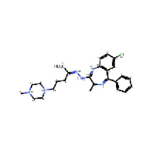 CC1N=C(c2ccccc2)c2cc(Cl)ccc2N=C1NN=C(CCCN1CCN(C)CC1)C(=O)O